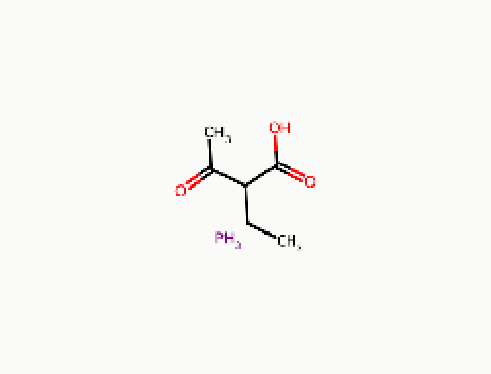 CCC(C(C)=O)C(=O)O.P